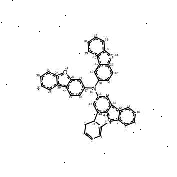 C1=CCC2C(=C1)n1c3ccccc3c3cc(N(c4ccc5c(c4)oc4ccccc45)c4ccc5sc6ccccc6c5c4)cc2c31